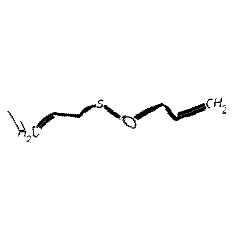 C=CCOSCC=C